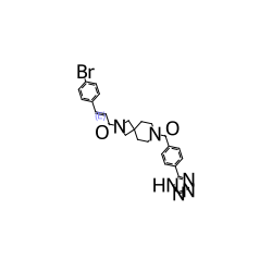 O=C(/C=C/c1ccc(Br)cc1)N1CC2(CCN(C(=O)c3ccc(-c4nnn[nH]4)cc3)CC2)C1